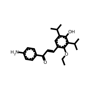 CCOc1c(C=CC(=O)c2ccc(N)cc2)cc(C(C)C)c(O)c1C(C)C